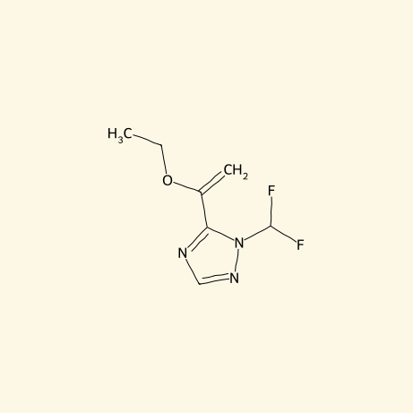 C=C(OCC)c1ncnn1C(F)F